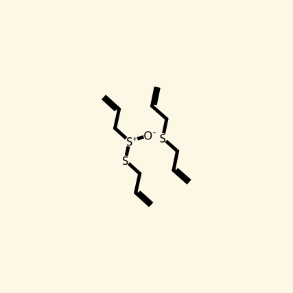 C=CCSCC=C.C=CCS[S+]([O-])CC=C